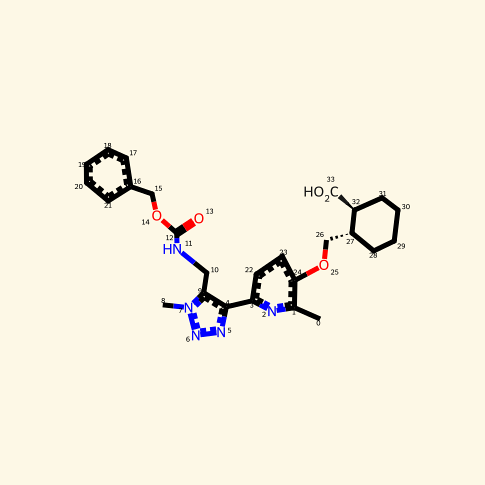 Cc1nc(-c2nnn(C)c2CNC(=O)OCc2ccccc2)ccc1OC[C@H]1CCCC[C@@H]1C(=O)O